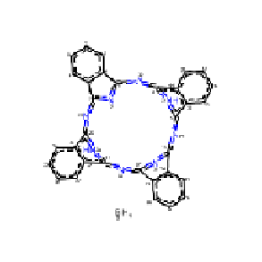 [BiH3].c1ccc2c(c1)-c1nc-2nc2[nH]c(nc3nc(nc4[nH]c(n1)c1ccccc41)-c1ccccc1-3)c1ccccc21